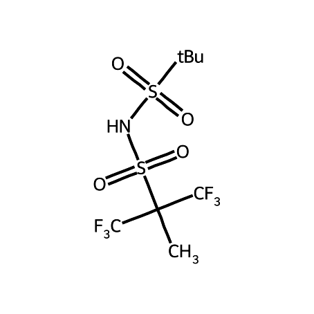 CC(C)(C)S(=O)(=O)NS(=O)(=O)C(C)(C(F)(F)F)C(F)(F)F